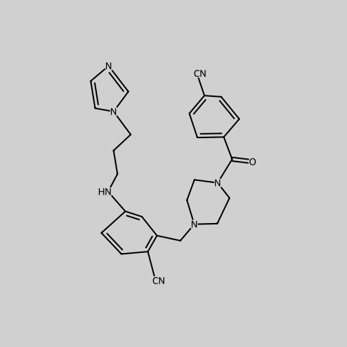 N#Cc1ccc(C(=O)N2CCN(Cc3cc(NCCCn4ccnc4)ccc3C#N)CC2)cc1